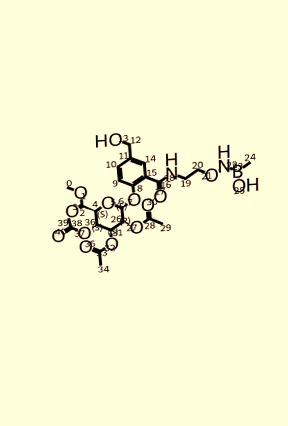 COC(=O)[C@H]1O[C@@H](Oc2ccc(CO)cc2C(=O)NCCONB(C)O)[C@H](OC(C)=O)[C@@H](OC(C)=O)[C@@H]1OC(C)=O